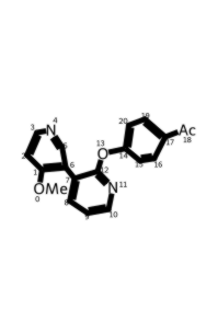 COc1ccncc1-c1cccnc1Oc1ccc(C(C)=O)cc1